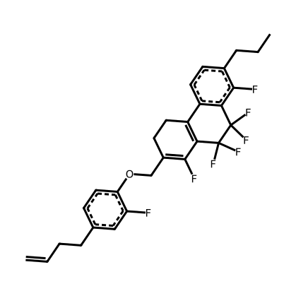 C=CCCc1ccc(OCC2=C(F)C3=C(CC2)c2ccc(CCC)c(F)c2C(F)(F)C3(F)F)c(F)c1